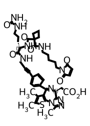 Cc1sc2c(c1C)C(c1ccc(C#CCNC(=O)[C@H](CCCNC(N)=O)NC(=O)C3(C(=O)NCCCCCN4C(=O)C=CC4=O)CCC3)cc1)=N[C@@H](CC(=O)O)c1nnc(C)n1-2